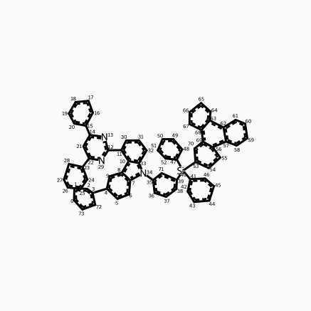 c1ccc(-c2ccc3c(c2)c2c(-c4nc(-c5ccccc5)cc(-c5ccccc5)n4)cccc2n3-c2cccc([Si](c3ccccc3)(c3ccccc3)c3ccc4c5ccccc5c5ccccc5c4c3)c2)cc1